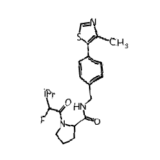 Cc1ncsc1-c1ccc(CNC(=O)C2CCCN2C(=O)C(F)C(C)C)cc1